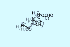 CCC(C=O)COCCN(C)C(=O)CCCN(C)C(C)CC(C)N(C)CCOCCC(=O)N(C)CCCN(C)C(C)C